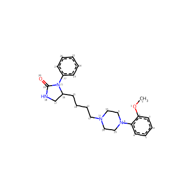 COc1ccccc1N1CCN(CCCCC2CNC(=O)N2c2ccccc2)CC1